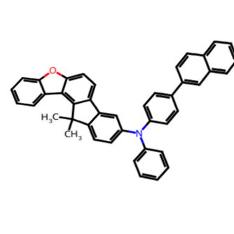 CC1(C)c2ccc(N(c3ccccc3)c3ccc(-c4ccc5ccccc5c4)cc3)cc2-c2ccc3oc4ccccc4c3c21